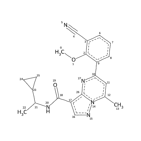 COc1c(C#N)cccc1-c1cc(C)n2ncc(C(=O)NC(C)C3CC3)c2n1